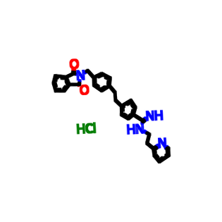 Cl.N=C(NCCc1ccccn1)c1ccc(CCc2ccc(CN3C(=O)c4ccccc4C3=O)cc2)cc1